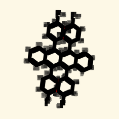 Fc1ccc(-c2c3ccccc3c(-c3ccc(F)cc3)c3c(-c4ccc(F)cc4)c4ccccc4c(-c4ccc(F)cc4)c23)cc1